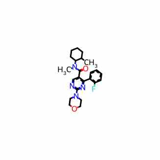 CC1CCCCC1N(C)C(=O)c1cnc(N2CCOCC2)nc1-c1ccccc1F